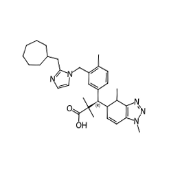 Cc1ccc([C@@H](C2C=Cc3c(nnn3C)C2C)C(C)(C)C(=O)O)cc1Cn1ccnc1CC1CCCCCC1